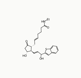 CCNC(=O)CCCC=CC[C@H]1C(=O)C[C@@H](O)[C@@H]1C=CC(O)c1cc2ccccc2s1